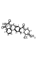 CC[C@@H]1CN(C(=O)c2cc(Cn3c(=O)[nH]c(=O)c4ccccc43)ccc2F)CCN1C